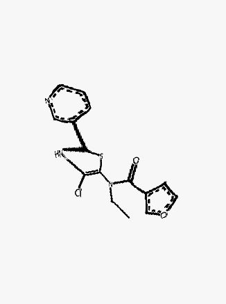 CCN(C(=O)c1ccoc1)C1=C(Cl)NC(c2cccnc2)S1